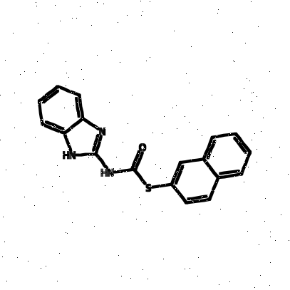 O=C(Nc1nc2ccccc2[nH]1)Sc1ccc2ccccc2c1